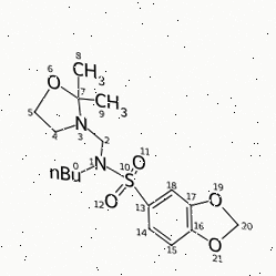 CCCCN(CN1CCOC1(C)C)S(=O)(=O)c1ccc2c(c1)OCO2